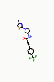 Cc1csc(N2CCC(NC(=O)C#Cc3ccc(C(F)(F)F)cc3)C2)n1